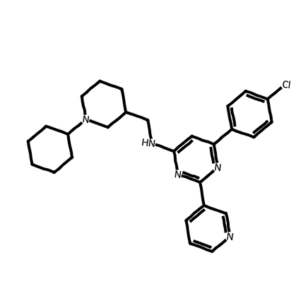 Clc1ccc(-c2cc(NCC3CCCN(C4CCCCC4)C3)nc(-c3cccnc3)n2)cc1